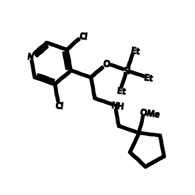 CC[Si](CC)(CC)OC(CNCC1(OC)CCCC1)c1c(Cl)cncc1Cl